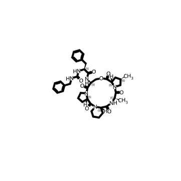 C[C@H]1C[C@H]2C(=O)OC[C@H](NC(=O)[C@H](Cc3ccccc3)NC(=O)NCc3ccccc3)C(=O)N3CCC[C@H]3C(=O)N3CCCC[C@H]3C(=O)N[C@@H](C)C(=O)N2C1